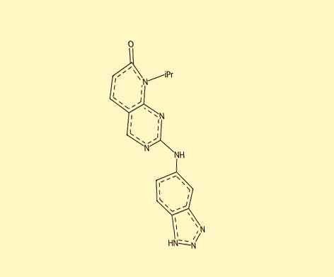 CC(C)n1c(=O)ccc2cnc(Nc3ccc4[nH]nnc4c3)nc21